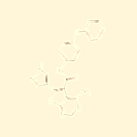 Nc1ncnc2sc(-c3cn[nH]c3)c(C(=O)Nc3ccc(Oc4ccccc4)cc3)c12